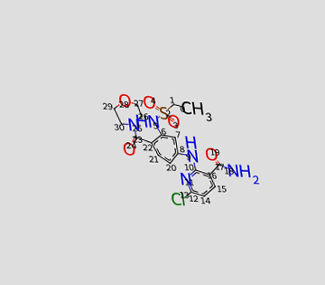 CCS(=O)(=O)Nc1cc(Nc2nc(Cl)ccc2C(N)=O)ccc1C(=O)N1CCOCC1